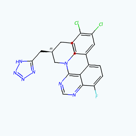 Fc1ccc(-c2ccc(Cl)c(Cl)c2)c2c(N3CCC[C@H](Cc4nnn[nH]4)C3)ncnc12